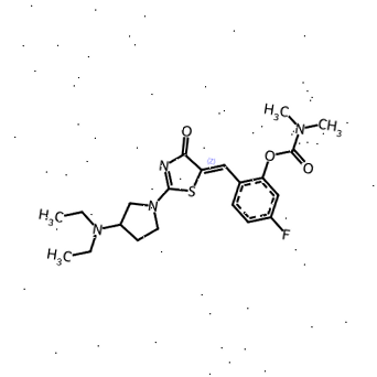 CCN(CC)C1CCN(C2=NC(=O)/C(=C/c3ccc(F)cc3OC(=O)N(C)C)S2)C1